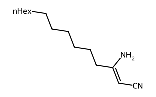 CCCCCCCCCCCCC(N)=CC#N